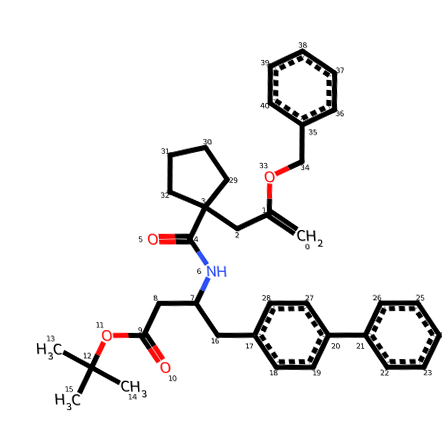 C=C(CC1(C(=O)NC(CC(=O)OC(C)(C)C)Cc2ccc(-c3ccccc3)cc2)CCCC1)OCc1ccccc1